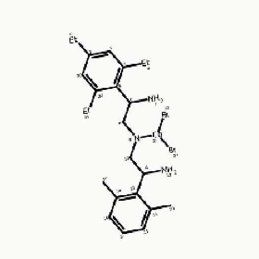 CCc1cc(CC)c(C(N)C[N](CC(N)c2c(C)cccc2C)[Co]([Br])[Br])c(CC)c1